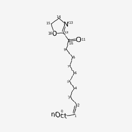 CCCCCCCC/C=C\CCCCCCCC(=O)C1=NCCO1